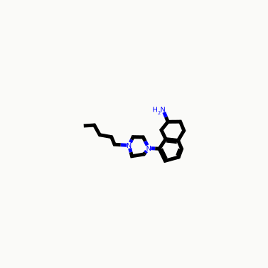 CCCCCN1CCN(c2cccc3c2CC(N)CC3)CC1